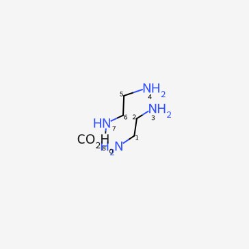 NCCN.NCCNC(=O)O